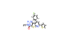 CC(C)NC(=O)c1sc2nc(-c3cccs3)cc(-c3ccc(F)cc3)c2c1N